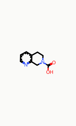 O=C(O)N1CCc2cccnc2C1